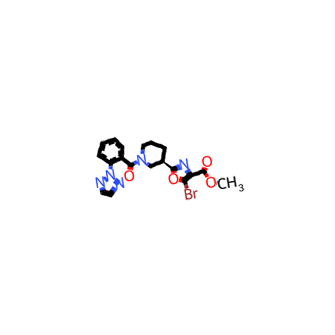 COC(=O)c1nc([C@@H]2CCCN(C(=O)c3ccccc3-n3nccn3)C2)oc1Br